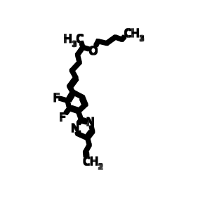 C=CCc1cnc(-c2ccc(C=CCCCC(C)OCCCCC)c(F)c2F)nc1